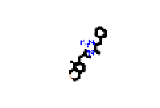 C=C(C(N)Cc1ccccc1)N1CC(Cc2ccc3c(c2C)CSCC3)C1